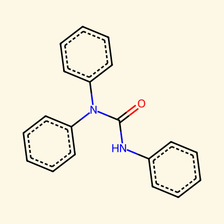 O=C(Nc1ccccc1)N(c1ccccc1)c1ccccc1